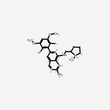 COc1cc(OC)c(F)c(-c2cc3cnc(N)nc3c(NCC3CCCN3C)n2)c1F